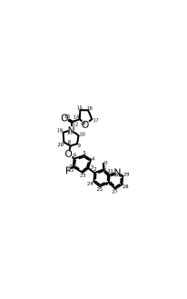 Cc1c(-c2ccc(OC3CCN(C(=O)C4CCCO4)CC3)c(F)c2)ccc2cccnc12